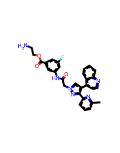 Cc1cccc(-c2nn(CC(=O)Nc3cc(F)cc(C(=O)OCCN)c3)cc2-c2ccnc3ccccc23)n1